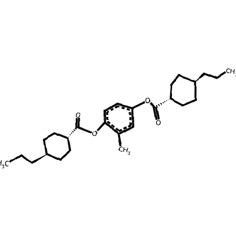 CCC[C@H]1CC[C@H](C(=O)Oc2ccc(OC(=O)[C@H]3CC[C@H](CCC)CC3)c(C)c2)CC1